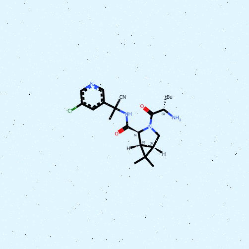 CC(C#N)(NC(=O)[C@@H]1[C@@H]2[C@H](CN1C(=O)[C@@H](N)C(C)(C)C)C2(C)C)c1cncc(Cl)c1